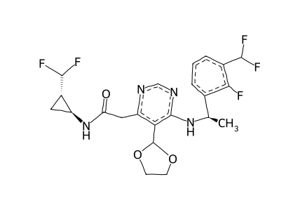 C[C@@H](Nc1ncnc(CC(=O)N[C@H]2C[C@@H]2C(F)F)c1C1OCCO1)c1cccc(C(F)F)c1F